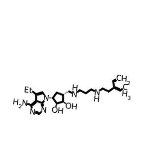 C=C/C(=C\C)CCNCCCNC[C@H]1C[C@@H](n2cc(CC)c3c(N)ncnc32)[C@H](O)[C@@H]1O